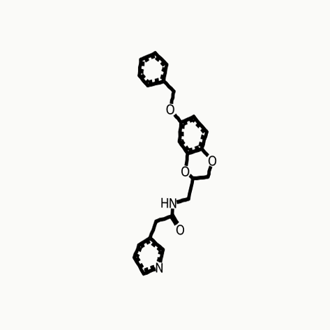 O=C(Cc1cccnc1)NCC1COc2ccc(OCc3ccccc3)cc2O1